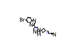 N#C/C=C/[C@H]1C[C@H](N/C=C(\C=N)c2cnc3ccc(Br)cc3n2)C1